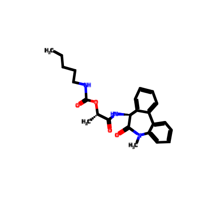 CCCCCNC(=O)O[C@@H](C)C(=O)N[C@@H]1C(=O)N(C)c2ccccc2-c2ccccc21